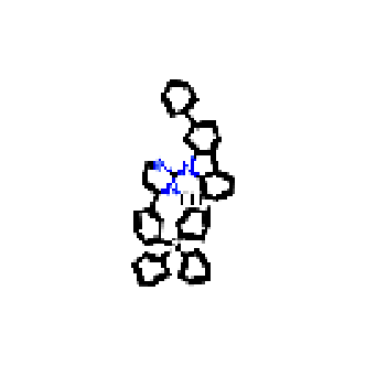 CN1C(c2cccc([Si](c3ccccc3)(c3ccccc3)c3ccccc3)c2)=CC=NC1n1c2ccccc2c2ccc(-c3ccccc3)cc21